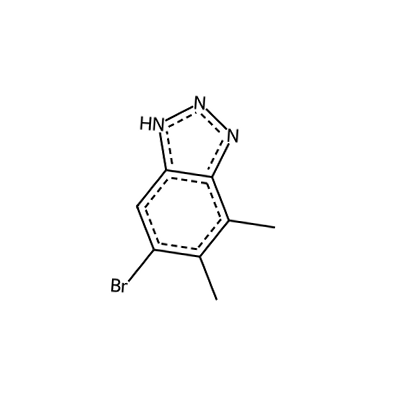 Cc1c(Br)cc2[nH]nnc2c1C